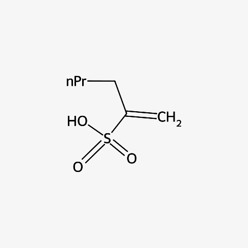 C=C(CCCC)S(=O)(=O)O